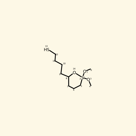 CO[Si]1(OC)CCCC(CCCCS)O1